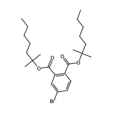 CCCCCC(C)(C)OC(=O)c1ccc(Br)cc1C(=O)OC(C)(C)CCCCC